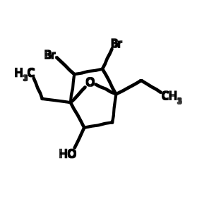 CCC12CC(O)C(CC)(O1)C(Br)C2Br